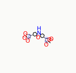 C=C(OC)/C(=C\C(=C/COC)c1ccc2c(c1)Oc1cc(C(/C=C(/OC)C(=C)OC)=C/COC)ccc1N2)OC